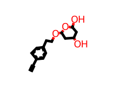 C#Cc1ccc(CCOC2CC(O)CC(O)O2)cc1